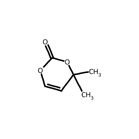 CC1(C)C=COC(=O)O1